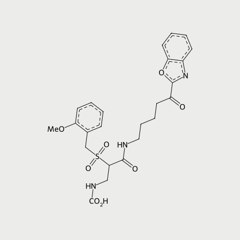 COc1ccccc1CS(=O)(=O)C(CNC(=O)O)C(=O)NCCCCC(=O)c1nc2ccccc2o1